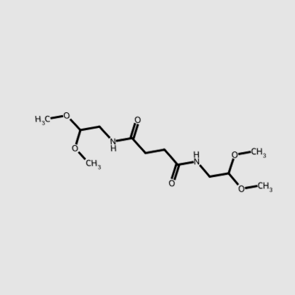 COC(CNC(=O)CCC(=O)NCC(OC)OC)OC